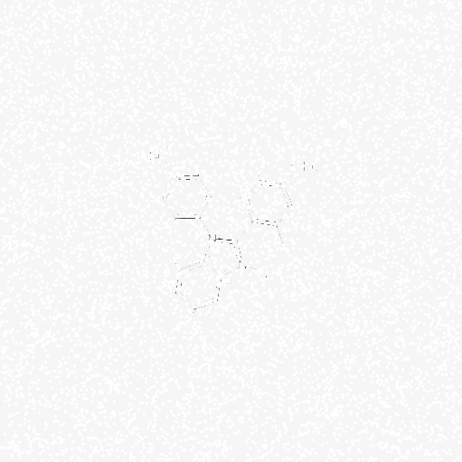 Cc1cc(C(C)(C)C)ccc1-c1n(-c2ccc(C(C)(C)C)cc2)c2ccccc2[n+]1C